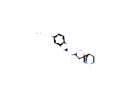 COc1ccc2nc(NC3=NOC4(C3)CN3CCC4CC3)sc2c1